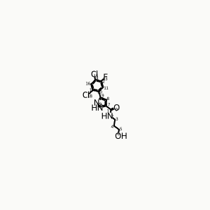 O=C(NCCCO)c1cc(-c2cc(F)c(Cl)cc2Cl)n[nH]1